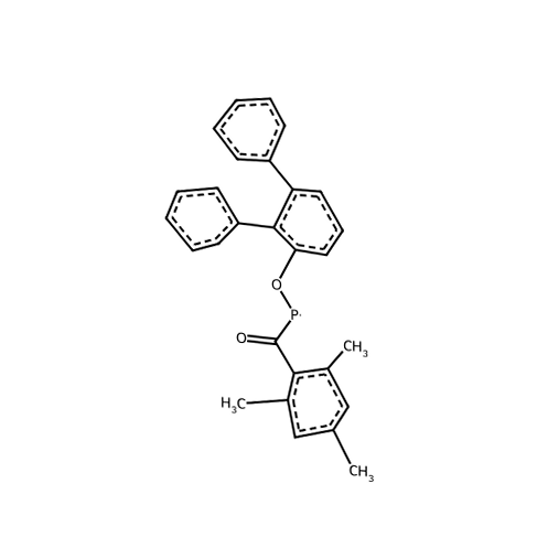 Cc1cc(C)c(C(=O)[P]Oc2cccc(-c3ccccc3)c2-c2ccccc2)c(C)c1